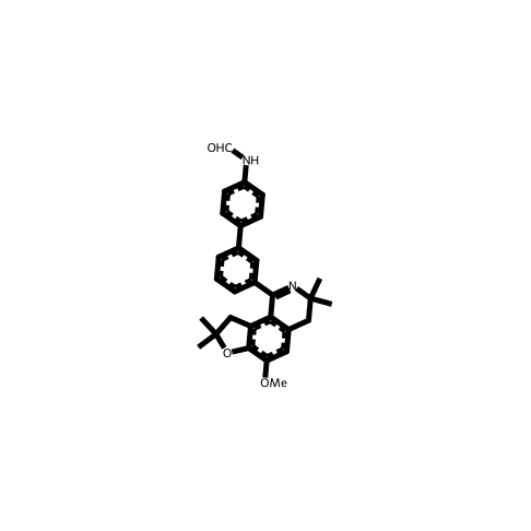 COc1cc2c(c3c1OC(C)(C)C3)C(c1cccc(-c3ccc(NC=O)cc3)c1)=NC(C)(C)C2